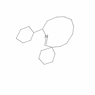 C1=N/C(C2CCCCC2)CCCCCCCCC/12CCCCC2